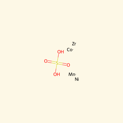 O=S(=O)(O)O.[Co].[Mn].[Ni].[Zr]